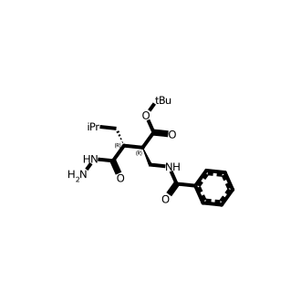 CC(C)C[C@@H](C(=O)NN)[C@H](CNC(=O)c1ccccc1)C(=O)OC(C)(C)C